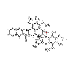 COc1c(C)c(OC)c2c(c1O)[C@H]1[C@@H]3Cc4c(OC)c(C)c(OC)c(O)c4[C@H](CNC(=O)c4ccc5ccccc5n4)N3[C@@H](OC)[C@@H](C2)N1C